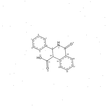 O=C1NC(c2ccccc2)C(C(=O)O)c2ccccc21